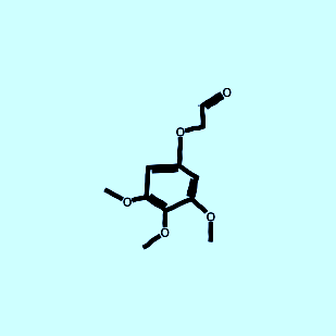 COc1cc(OC[C]=O)cc(OC)c1OC